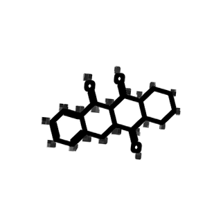 O=C1C2CCCCC2C(=O)C2C(=O)c3ccccc3CC12